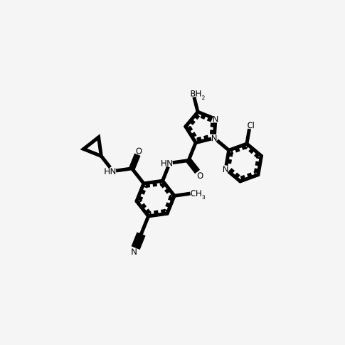 Bc1cc(C(=O)Nc2c(C)cc(C#N)cc2C(=O)NC2CC2)n(-c2ncccc2Cl)n1